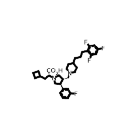 O=C(O)[C@@H](CC1CCC1)N1C[C@H](CN2CCC(CCCc3c(F)cc(F)cc3F)CC2)[C@@H](c2cccc(F)c2)C1